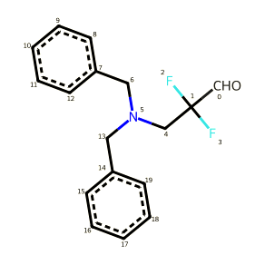 O=CC(F)(F)CN(Cc1ccccc1)Cc1ccccc1